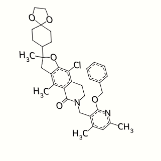 Cc1cc(C)c(CN2CCc3c(Cl)c4c(c(C)c3C2=O)CC(C)(C2CCC3(CC2)OCCO3)O4)c(OCc2ccccc2)n1